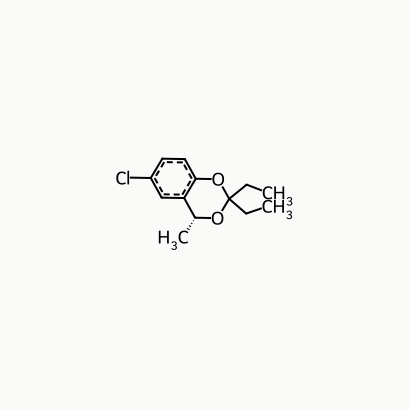 CCC1(CC)Oc2ccc(Cl)cc2[C@@H](C)O1